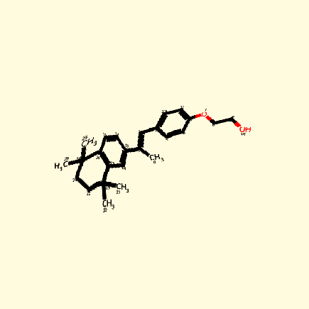 C/C(=C\c1ccc(OCCO)cc1)c1ccc2c(c1)C(C)(C)CCC2(C)C